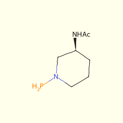 CC(=O)N[C@H]1CCCN(P)C1